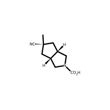 C[C@]1(C#N)C[C@H]2CN(C(=O)O)C[C@H]2C1